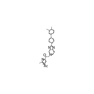 CC(=O)n1cc(C(=O)Cn2ccc3nc(-c4ccc(-c5ccc(C)c(C)c5)cc4)nc-3c2)nc1C